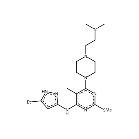 CCc1cc(Nc2nc(SC)nc(N3CCN(CCN(C)C)CC3)c2C)n[nH]1